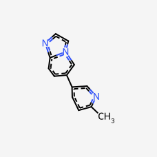 Cc1ccc(-c2ccc3nccn3c2)cn1